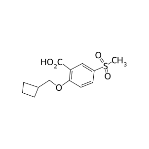 CS(=O)(=O)c1ccc(OCC2CCC2)c(C(=O)O)c1